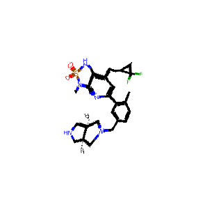 Cc1ccc(CN2C[C@H]3CNC[C@H]3C2)cc1-c1cc(CC2CC2(F)F)c2c(n1)N(C)S(=O)(=O)N2